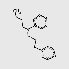 CCCCN(CCCc1ccccc1)c1ccccc1